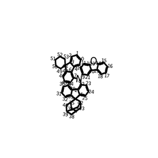 c1ccc2c(c1)-c1c(N(c3ccc4oc5ccccc5c4c3)c3cccc4c3-c3ccccc3C43C4CC5CC(C4)CC3C5)cccc1C21CCCCC1